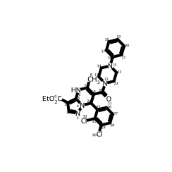 CCOC(=O)c1cnn2c1NC(C)=C(C(=O)N1CCN(c3ccccc3)CC1)C2c1cccc(Cl)c1Cl